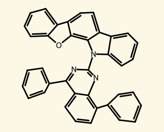 c1ccc(-c2nc(-n3c4ccccc4c4ccc5c6ccccc6oc5c43)nc3c(-c4ccccc4)cccc23)cc1